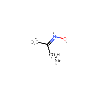 O=C(O)C(=NO)C(=O)O.[Na]